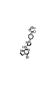 CC(C)(C)OC(=O)N1CCC(n2ccc(Nc3ncc(Br)n4ccnc34)n2)CC1